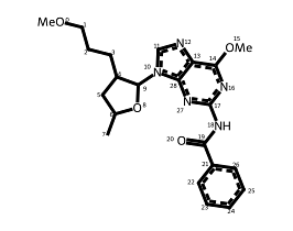 COCCCC1CC(C)OC1n1cnc2c(OC)nc(NC(=O)c3ccccc3)nc21